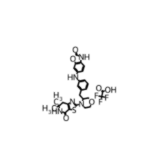 CC1(C)Cc2nc(N3CCOCC3Cc3cccc(Nc4ccc5[nH]c(=O)oc5c4)c3)sc2C(=O)N1.O=C(O)C(F)(F)F